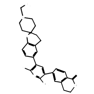 Nc1nc(F)c(-c2ccc3c(c2)CCC2(CCN(CC(F)(F)F)CC2)O3)cc1-c1ccc2c(c1)CCNC2=O